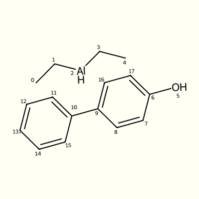 C[CH2][AlH][CH2]C.Oc1ccc(-c2cc[c]cc2)cc1